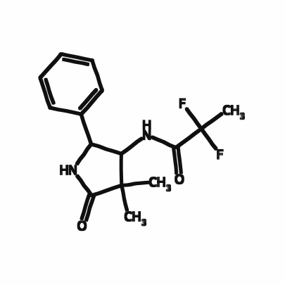 CC(F)(F)C(=O)NC1C(c2ccccc2)NC(=O)C1(C)C